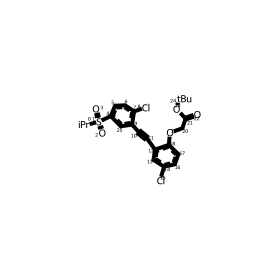 CC(C)S(=O)(=O)c1ccc(Cl)c(C#Cc2cc(Cl)ccc2OCC(=O)OC(C)(C)C)c1